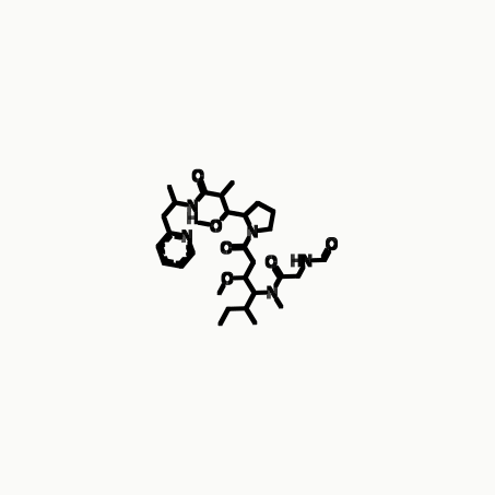 CCC(C)C(C(CC(=O)N1CCCC1C(OC)C(C)C(=O)NC(C)Cc1ccccn1)OC)N(C)C(=O)CNC=O